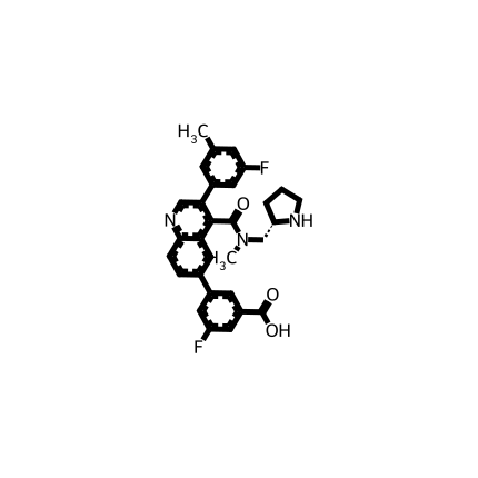 Cc1cc(F)cc(-c2cnc3ccc(-c4cc(F)cc(C(=O)O)c4)cc3c2C(=O)N(C)C[C@@H]2CCCN2)c1